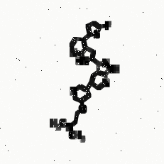 CN(C)CCOc1cncc(-c2cnc3[nH]nc(-c4cc5c(-c6ccc(F)s6)ccnc5[nH]4)c3c2)c1